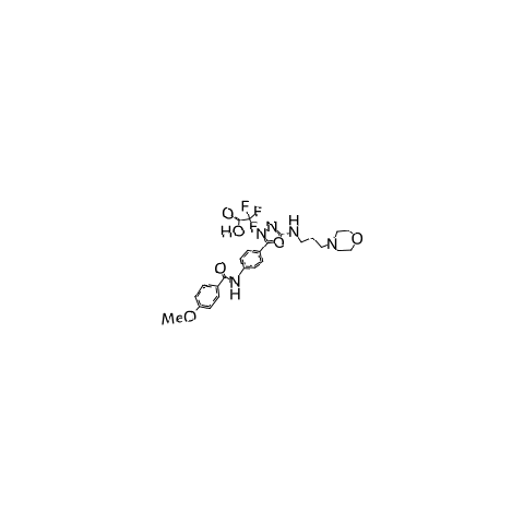 COc1ccc(C(=O)Nc2ccc(-c3nnc(NCCCN4CCOCC4)o3)cc2)cc1.O=C(O)C(F)(F)F